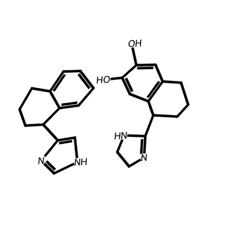 Oc1cc2c(cc1O)C(C1=NCCN1)CCC2.c1ccc2c(c1)CCCC2c1c[nH]cn1